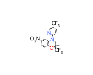 C[C@@]1(C(F)(F)F)CN(c2ccc(C(F)(F)F)cn2)c2cc([N+](=O)[O-])ccc2O1